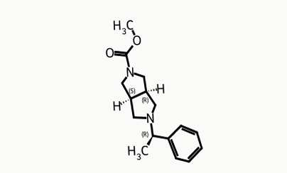 COC(=O)N1C[C@@H]2CN([C@H](C)c3ccccc3)C[C@@H]2C1